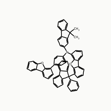 CC1(C)c2ccccc2-c2ccc(N(c3ccc(-c4cccc5c4oc4ccccc45)cc3)c3cccc4c3oc3c(C5(c6ccccc6)c6ccccc6-c6ccccc65)cccc34)cc21